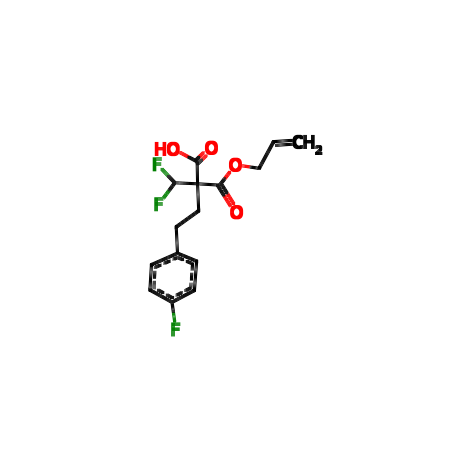 C=CCOC(=O)C(CCc1ccc(F)cc1)(C(=O)O)C(F)F